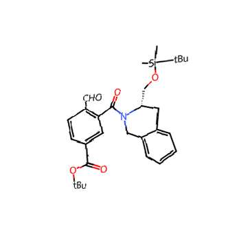 CC(C)(C)OC(=O)c1ccc(C=O)c(C(=O)N2Cc3ccccc3C[C@H]2CO[Si](C)(C)C(C)(C)C)c1